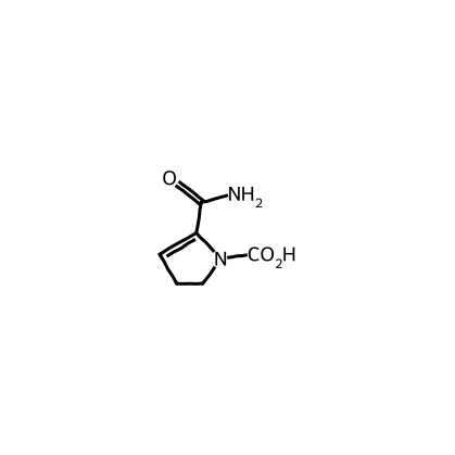 NC(=O)C1=CCCN1C(=O)O